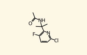 CC(=O)NC(C)(C)c1nc(Cl)ccc1F